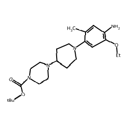 CCOc1cc(N2CCC(N3CCN(C(=O)OC(C)(C)C)CC3)CC2)c(C)cc1N